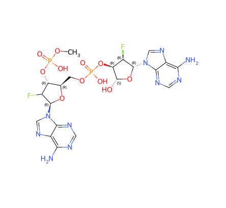 COP(=O)(O)O[C@H]1C(F)[C@H](n2cnc3c(N)ncnc32)O[C@@H]1COP(=O)(O)O[C@H]1[C@@H](F)[C@H](n2cnc3c(N)ncnc32)O[C@@H]1O